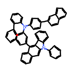 c1ccc(-c2ccccc2N(c2ccc(-c3ccc4ccccc4c3)cc2)c2cccc(-c3c4ccccc4cc4c3c3ccccc3n4-c3ccccc3)c2)cc1